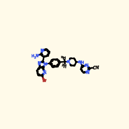 [2H]C([2H])(c1ccc(-n2c(-c3cccnc3N)nc3ccc(Br)nc32)cc1)N1CCC(Nc2ccnc(C#N)n2)CC1